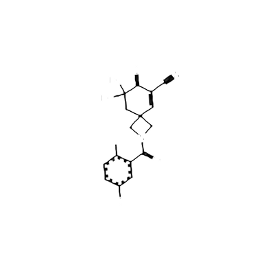 Cc1ccc(F)c(C(=O)N2CC3(C=C(C#N)C(=O)C(C)(C)C3)C2)c1